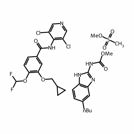 CCCCc1ccc2[nH]c(NC(=O)OC)nc2c1.COS(C)(=O)=O.O=C(Nc1c(Cl)cncc1Cl)c1ccc(OC(F)F)c(OCC2CC2)c1